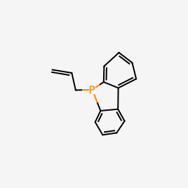 C=CCp1c2ccccc2c2ccccc21